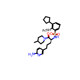 CC(=O)Nc1c(C2CCCC2)cccc1S(=O)(=O)N[C@@H](CCCc1ccc(N)nc1)C(=O)N1CCC(C)CC1